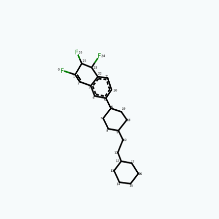 FC1=Cc2cc(C3CCC(CCC4CCCCC4)CC3)ccc2C(F)C1F